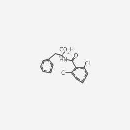 O=C(N[C@@H](Cc1ccccc1)C(=O)O)c1c(Cl)cccc1Cl